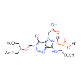 CCOP(=O)(OCC)C(Nc1nn(CC(N)=O)c2c(=O)n(COC(COC(C)=O)COC(C)=O)nnc12)C(=O)O